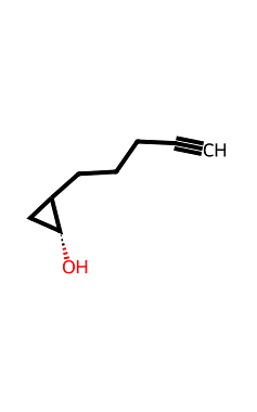 C#CCCCC1C[C@H]1O